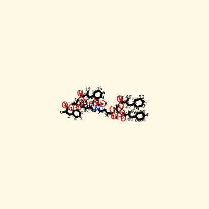 CC(CC1CCCCC1)C(=O)OCC(COC(=O)C(C)CC1CCCCC1)OC(=O)CCCN(CCCC(O)OC(COC(=O)C(C)CC1CCCCC1)COC(=O)C(C)CC1CCCCC1)C(=O)OC(C)(C)C